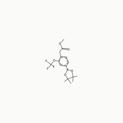 COC(=O)Cc1ccc(B2OC(C)(C)C(C)(C)O2)cc1OC(F)(F)F